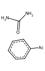 CC(=O)c1ccccc1.NC(N)=O